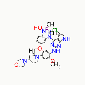 COc1cc2c(cc1Nc1nc(Nc3ccccc3N(O)P(C)C)c3c(Cl)c[nH]c3n1)OC[C@H]1CC(N3CCOCC3)CCN21